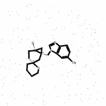 N#Cc1ccc2ncn(C[C@@]34C[C@@H]3CC[C@]3(CCCCO3)C4)c2c1